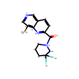 O=C(c1ccc2cncc(Br)c2n1)N1CCCC(F)(F)C1